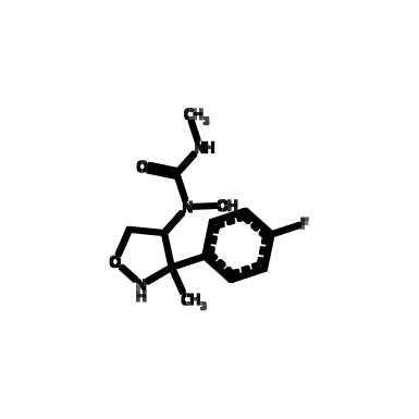 CNC(=O)N(O)C1CONC1(C)c1ccc(F)cc1